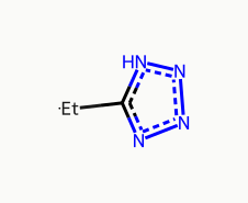 C[CH]c1nnn[nH]1